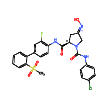 CS(=O)(=O)c1ccccc1-c1ccc(NC(=O)[C@H]2C/C(=N\O)CN2C(=O)Nc2ccc(Cl)cc2)c(F)c1